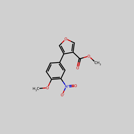 COC(=O)c1cocc1-c1ccc(OC)c([N+](=O)[O-])c1